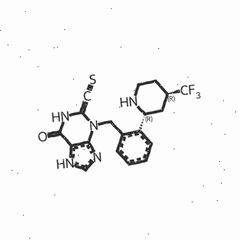 O=C1NC(=C=S)N(Cc2ccccc2[C@H]2C[C@H](C(F)(F)F)CCN2)c2nc[nH]c21